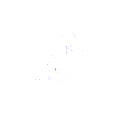 N#Cc1ccccc1S(=O)(=O)Nc1ccccc1C1CCN(C(=O)[C@@H](Cc2ccc(Cl)cc2)NC(=O)[C@@H]2Cc3ccccc3CN2C(=O)O)CC1